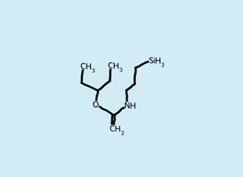 C=C(NCCC[SiH3])OC(CC)CC